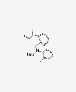 C=CC(C)c1ccccc1CN(c1ccccc1C)C(C)(C)C